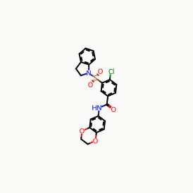 O=C(Nc1ccc2c(c1)OCCO2)c1ccc(Cl)c(S(=O)(=O)N2CCc3ccccc32)c1